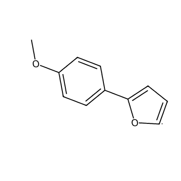 COc1ccc(-c2cc[c]o2)cc1